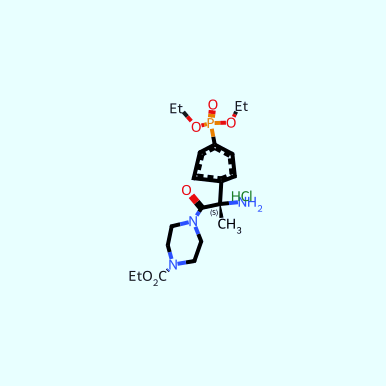 CCOC(=O)N1CCN(C(=O)[C@@](C)(N)c2ccc(P(=O)(OCC)OCC)cc2)CC1.Cl